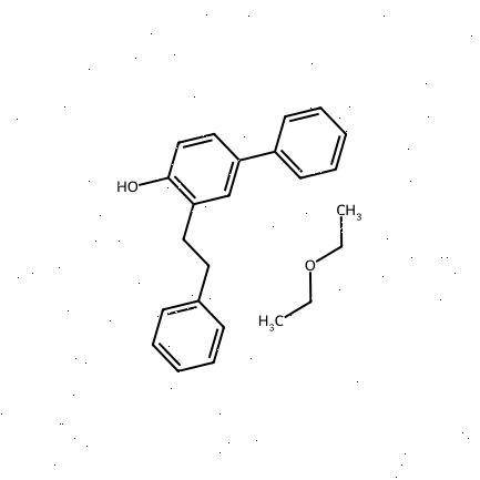 CCOCC.Oc1ccc(-c2ccccc2)cc1CCc1ccccc1